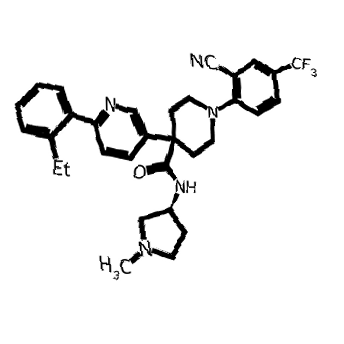 CCc1ccccc1-c1ccc(C2(C(=O)N[C@H]3CCN(C)C3)CCN(c3ccc(C(F)(F)F)cc3C#N)CC2)cn1